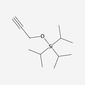 C#CCO[Si](C(C)C)(C(C)C)C(C)C